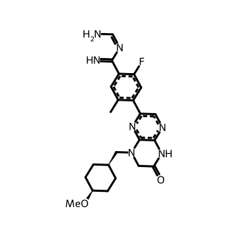 CO[C@H]1CC[C@@H](CN2CC(=O)Nc3ncc(-c4cc(F)c(C(=N)/N=C\N)cc4C)nc32)CC1